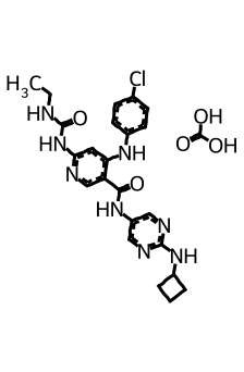 CCNC(=O)Nc1cc(Nc2ccc(Cl)cc2)c(C(=O)Nc2cnc(NC3CCC3)nc2)cn1.O=C(O)O